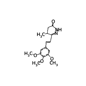 COc1cc(C=CC2=NNC(=O)CC2C)cc(OC)c1OC